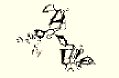 COc1ccc([C@H](Cc2c(Cl)c[n+]([O-])cc2Cl)OC(=O)c2ccc(CN(C(=O)O[C@H]3CN4CCC3CC4)c3cccc(O)c3O)cc2)cc1OC